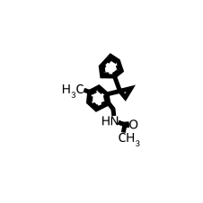 CC(=O)NCc1ccc(C)cc1C1(c2ccccc2)CC1